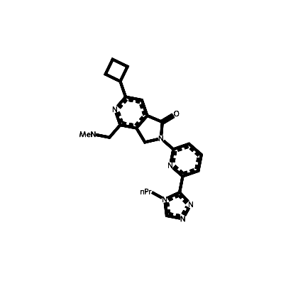 CCCn1cnnc1-c1cccc(N2Cc3c(cc(C4CCC4)nc3CNC)C2=O)n1